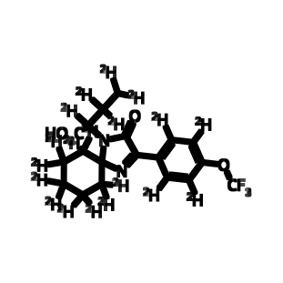 [2H]c1c([2H])c(C2=NC3(N(C([2H])(C(=O)O)C([2H])([2H])C([2H])[2H])C2=O)C([2H])([2H])C([2H])([2H])C([2H])([2H])C([2H])([2H])C3([2H])[2H])c([2H])c([2H])c1OC(F)(F)F